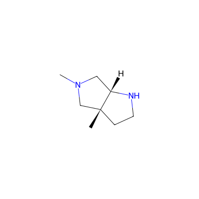 CN1C[C@@H]2NCC[C@]2(C)C1